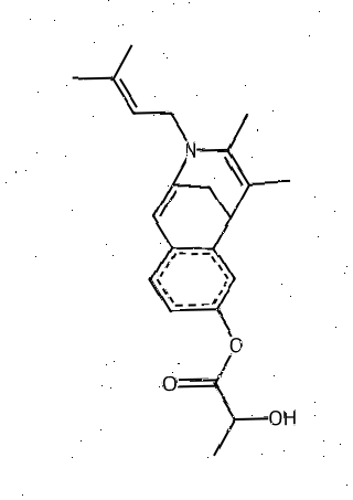 CC(C)=CCN1C2=Cc3ccc(OC(=O)C(C)O)cc3C(C2)C(C)=C1C